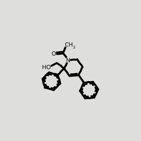 CC(=O)N1CCC(c2ccccc2)=CC1(CO)c1ccccc1